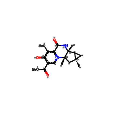 COC(=O)c1cn2c(c(OC)c1=O)C(=O)N[C@@H]1C3C[C@H]3C[C@@H]12